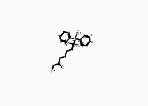 CC(C)(CCCCC(=O)CC#N)[Si](O)(c1ccccc1)c1ccccc1